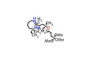 C=C[Si]1(C)CCCCN[Si](C)(CC[Si](C)(C)O[SiH2]CC[Si](OC)(OC)OC)N1